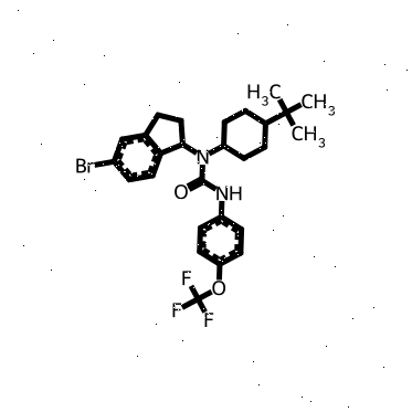 CC(C)(C)C1CCC(N(C(=O)Nc2ccc(OC(F)(F)F)cc2)C2CCc3cc(Br)ccc32)CC1